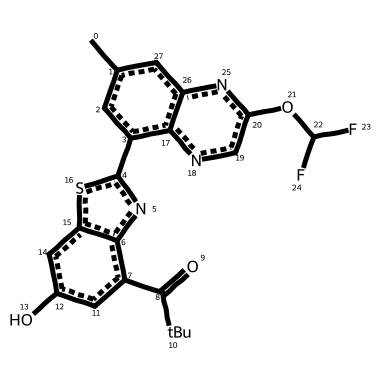 Cc1cc(-c2nc3c(C(=O)C(C)(C)C)cc(O)cc3s2)c2ncc(OC(F)F)nc2c1